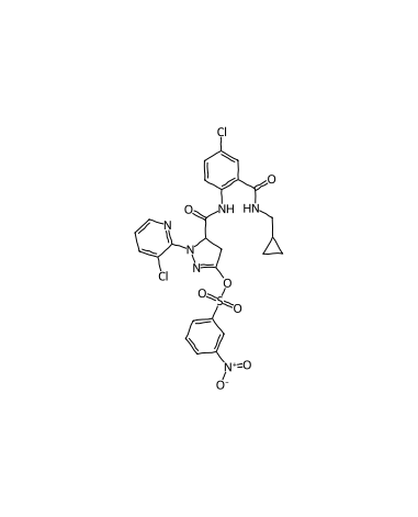 O=C(NCC1CC1)c1cc(Cl)ccc1NC(=O)C1CC(OS(=O)(=O)c2cccc([N+](=O)[O-])c2)=NN1c1ncccc1Cl